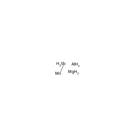 [AlH3].[MgH2].[Mn][SbH2]